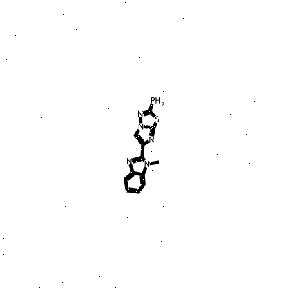 Cn1c(-c2cn3nc(P)sc3n2)nc2ccccc21